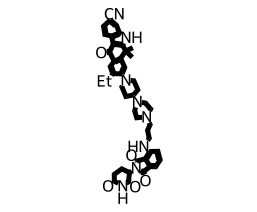 CCc1cc2c(cc1N1CCC(N3CCN(CCCNc4cccc5c4C(=O)N(C4CCC(=O)NC4=O)C5=O)CC3)CC1)C(C)(C)c1[nH]c3cc(C#N)ccc3c1C2=O